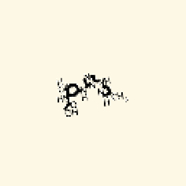 Cc1cc(Nc2cncc(Nc3ccc(C)c(NC(=O)CO)c3)n2)n[nH]1